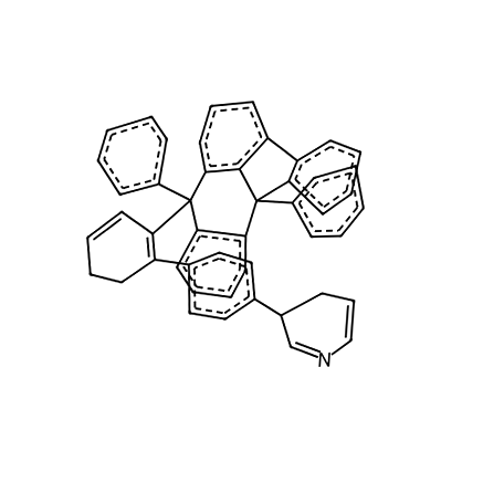 C1=CC(C2(c3ccccc3)c3ccccc3C3(c4ccccc4)c4ccccc4-c4cccc2c43)=C(c2ccc(C3C=NC=CC3)cc2)CC1